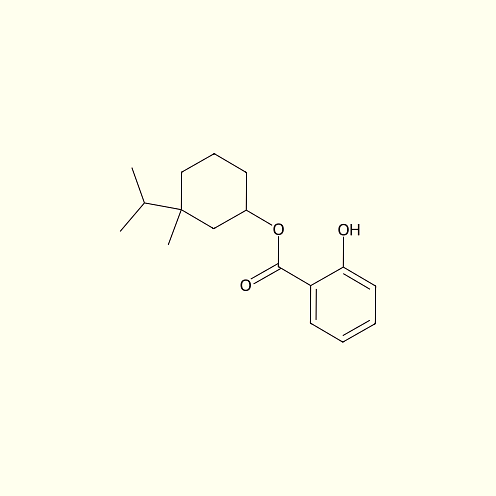 CC(C)C1(C)CCCC(OC(=O)c2ccccc2O)C1